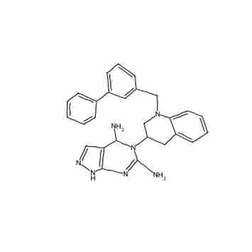 NC1=Nc2[nH]ncc2C(N)N1C1Cc2ccccc2N(Cc2cccc(-c3ccccc3)c2)C1